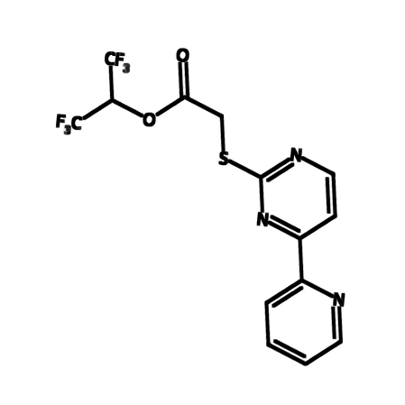 O=C(CSc1nccc(-c2ccccn2)n1)OC(C(F)(F)F)C(F)(F)F